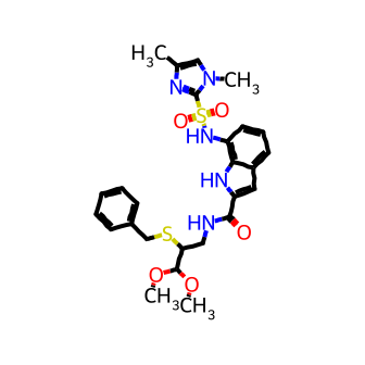 COC(OC)C(CNC(=O)c1cc2cccc(NS(=O)(=O)c3nc(C)cn3C)c2[nH]1)SCc1ccccc1